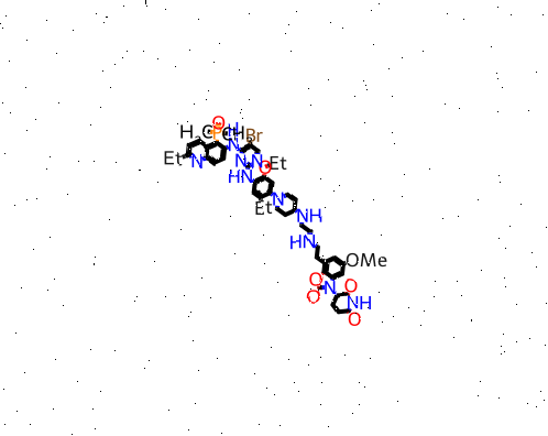 CCOc1cc(N2CCC(NCCNCCc3cc(OC)cc4c3oc(=O)n4C3CCC(=O)NC3=O)CC2)c(CC)cc1Nc1ncc(Br)c(Nc2ccc3nc(CC)ccc3c2P(C)(C)=O)n1